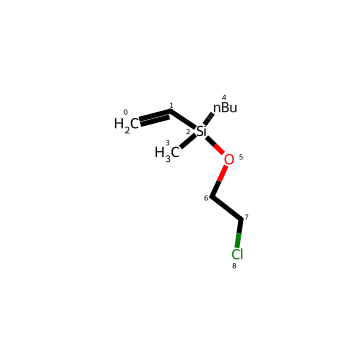 C=C[Si](C)(CCCC)OCCCl